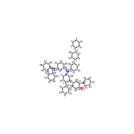 c1ccc(-c2ccc(-c3cccc(N(c4ccc(-c5ccccc5-c5ccc6c(c5)oc5ccccc56)cc4)c4cccc(-n5c6ccccc6c6ccccc65)c4)c3)cc2)cc1